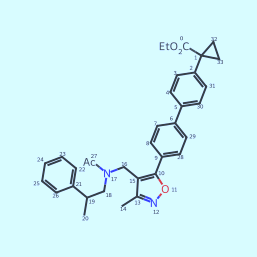 CCOC(=O)C1(c2ccc(-c3ccc(-c4onc(C)c4CN(CC(C)c4ccccc4)C(C)=O)cc3)cc2)CC1